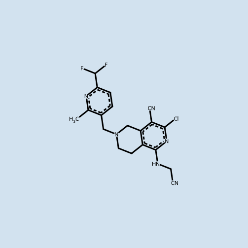 Cc1nc(C(F)F)ccc1CN1CCc2c(NCC#N)nc(Cl)c(C#N)c2C1